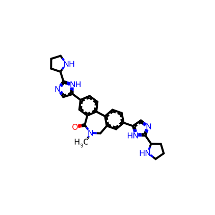 CN1Cc2cc(-c3cnc(C4CCCN4)[nH]3)ccc2-c2ccc(-c3cnc(C4CCCN4)[nH]3)cc2C1=O